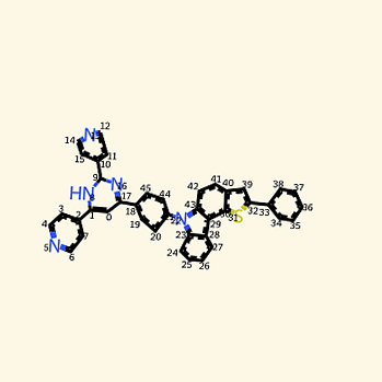 C1=C(c2ccncc2)NC(c2ccncc2)N=C1c1ccc(-n2c3ccccc3c3c4sc(-c5ccccc5)cc4ccc32)cc1